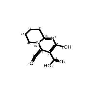 O=C=C1C(C(=O)O)=C(O)N=C2CCCCN12